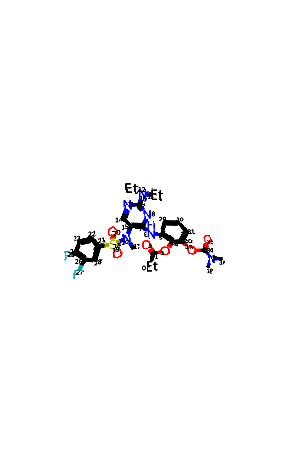 CCC(=O)Oc1c(Nc2nc(N(CC)CC)ncc2N(C)S(=O)(=O)c2ccc(F)c(F)c2)cccc1OC(=O)N(C)C